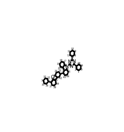 c1ccc(-c2nc(-c3ccccc3)nc(-n3c4ccccc4c4c(-c5ccc6oc7c(-c8ccccc8)cccc7c6c5)cccc43)n2)cc1